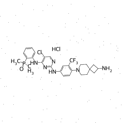 CP(C)(=O)c1ccccc1Nc1nc(Nc2ccc(N3CCC4(CC3)CC(N)C4)c(C(F)(F)F)c2)ncc1Cl.Cl